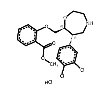 COC(=O)c1ccccc1OC[C@H]1OCCNC[C@@H]1c1ccc(Cl)c(Cl)c1.Cl